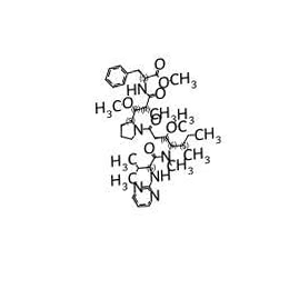 CC[C@H](C)[C@@H]([C@@H](CC(=O)N1CCC[C@H]1[C@H](OC)[C@@H](C)C(=O)N[C@@H](Cc1ccccc1)C(=O)OC)OC)N(C)C(=O)[C@@H](Nc1ncccn1)C(C)C